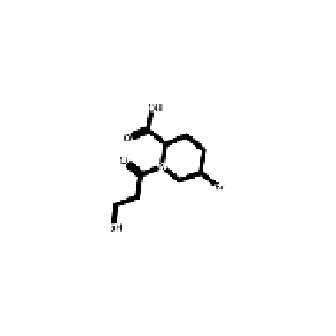 O=C(O)C1CCC(Br)CN1C(=O)CCS